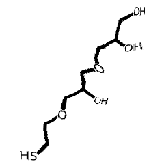 OCC(O)COCC(O)COCCS